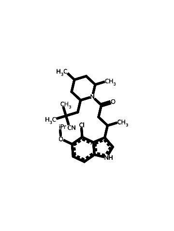 CC1CC(C)N(C(=O)CC(C)c2c[nH]c3ccc(OC(C)C)c(Cl)c23)C(CC(C)(C)C#N)C1